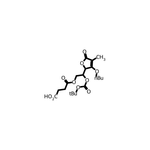 CCCCOC1=C(C)C(=O)OC1C(COC(=O)CCC(=O)O)OC(=O)OC(C)(C)C